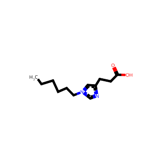 CCCCCCn1cnc(CCC(=O)O)c1